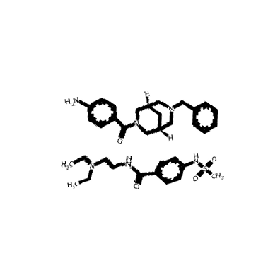 CCN(CC)CCNC(=O)c1ccc(NS(C)(=O)=O)cc1.Nc1ccc(C(=O)N2C[C@@H]3C[C@@H](CN(Cc4ccccc4)C3)C2)cc1